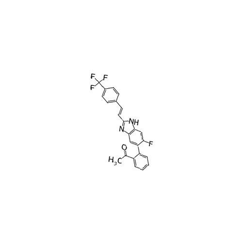 CC(=O)c1ccccc1-c1cc2nc(/C=C/c3ccc(C(F)(F)F)cc3)[nH]c2cc1F